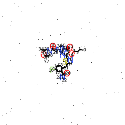 CCCCOc1c(-c2ncc(Cc3ccc(F)cc3C(=O)N(C)C)s2)nc2n(CC(=O)N3C[C@H](C)O[C@@H](C)C3)ccn2c1=O